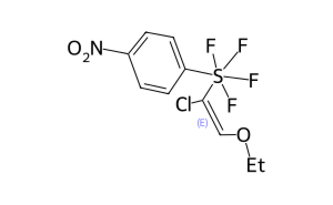 CCO/C=C(/Cl)S(F)(F)(F)(F)c1ccc([N+](=O)[O-])cc1